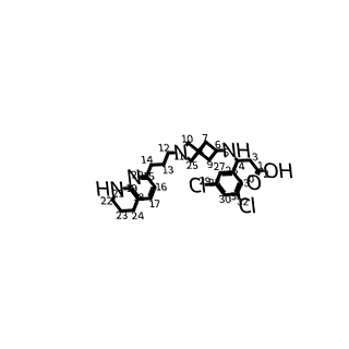 O=C(O)CC(NC1CC2(C1)CN(CCCc1ccc3c(n1)NCCC3)C2)c1cc(Cl)cc(Cl)c1